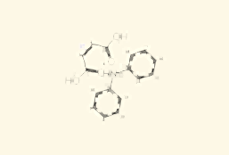 O=C(O)/C=C\C(=O)O.c1ccc(Nc2ccccc2)cc1